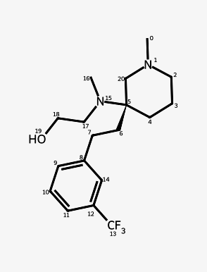 CN1CCC[C@](CCc2cccc(C(F)(F)F)c2)(N(C)CCO)C1